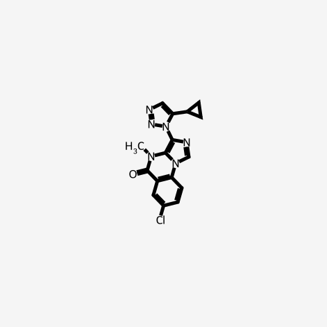 Cn1c(=O)c2cc(Cl)ccc2n2cnc(-n3nncc3C3CC3)c12